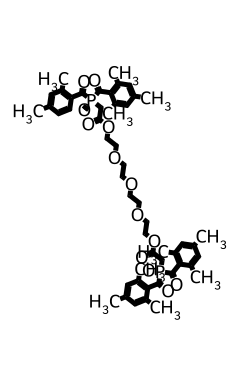 Cc1ccc(C(=O)P(=O)(CC(=O)OCCOCCOCCOCCOC(=O)CP(=O)(C(=O)c2c(C)cc(C)cc2C)C(=O)c2c(C)cc(C)cc2C)C(=O)c2c(C)cc(C)cc2C)c(C)c1